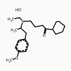 CCN(CCCC(=O)C1CCCCC1)C(C)Cc1ccc(OC)cc1.Cl